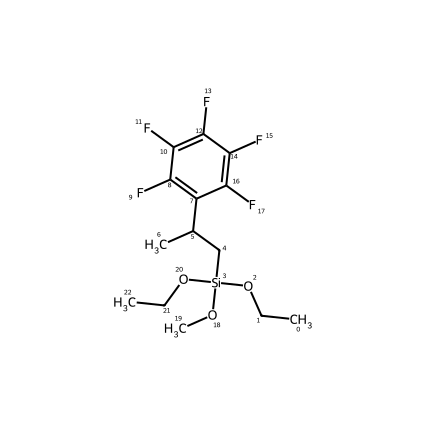 CCO[Si](CC(C)c1c(F)c(F)c(F)c(F)c1F)(OC)OCC